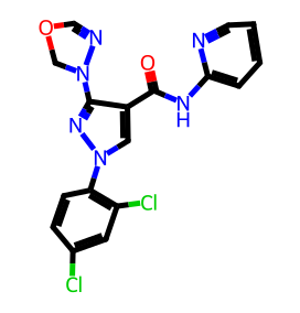 O=C(Nc1ccccn1)c1cn(-c2ccc(Cl)cc2Cl)nc1N1COC=N1